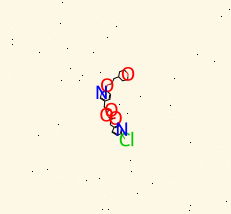 O=C(Cc1ccc(Cl)nc1)OC(=O)Cc1ccc(OCCC2CCOCC2)nc1